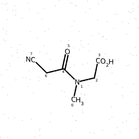 CN(CC(=O)O)C(=O)CC#N